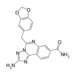 NC(=O)c1ccc2c(c1)nc(Cc1ccc3c(c1)OCO3)n1nc(N)nc21